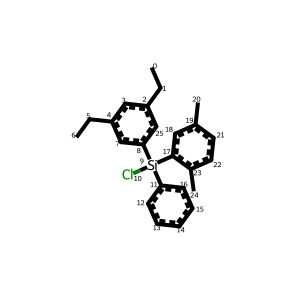 CCc1cc(CC)cc([Si](Cl)(c2ccccc2)c2cc(C)ccc2C)c1